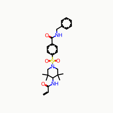 C=CC(=O)NC1C(C)(C)CN(S(=O)(=O)c2ccc(C(=O)NCc3ccccc3)cc2)CC1(C)C